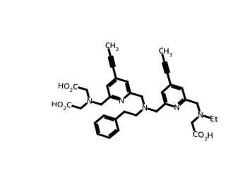 CC#Cc1cc(CN(CC)CC(=O)O)nc(CN(CCc2ccccc2)Cc2cc(C#CC)cc(CN(CC(=O)O)CC(=O)O)n2)c1